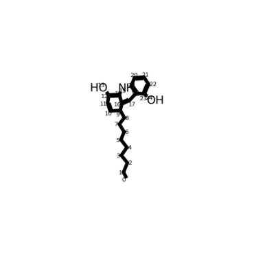 CCCCCCCCCC1C=CC(O)=C(N)C1=Cc1ccccc1O